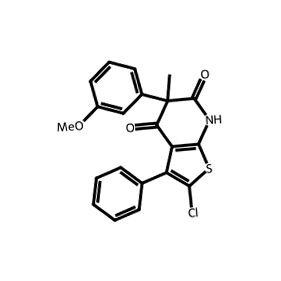 COc1cccc(C2(C)C(=O)Nc3sc(Cl)c(-c4ccccc4)c3C2=O)c1